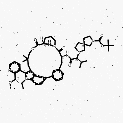 CCn1c(-c2cccnc2[C@H](C)OC)c2c3cc(ccc31)-c1cccc(c1)C[C@H](NC(=O)[C@H](C(C)C)N1CC[C@]3(CCN(C(=O)OC(C)(C)C)C3)C1)C(=O)N1CCC[C@H](N1)C(=O)OCC(C)(C)C2